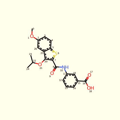 COc1ccc2sc(C(=O)Nc3cccc(C(=O)O)c3)c(OC(C)C)c2c1